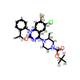 CC(C)c1ccccc1-n1c(=O)nc(N2CCN(C(=O)OC(C)(C)C)CC2C)c2cc(Cl)c(Br)cc21